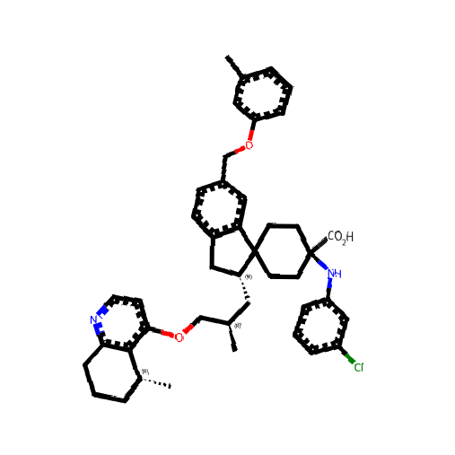 Cc1cccc(OCc2ccc3c(c2)C2(CCC(Nc4cccc(Cl)c4)(C(=O)O)CC2)[C@H](C[C@@H](C)COc2ccnc4c2[C@H](C)CCC4)C3)c1